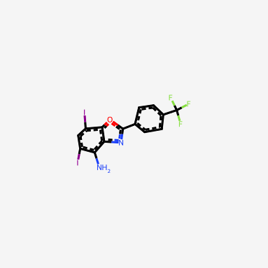 Nc1c(I)cc(I)c2oc(-c3ccc(C(F)(F)F)cc3)nc12